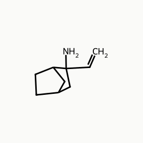 C=CC1(N)CC2CCC1C2